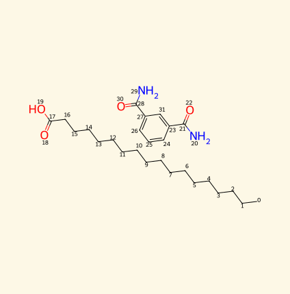 CCCCCCCCCCCCCCCCCC(=O)O.NC(=O)c1cccc(C(N)=O)c1